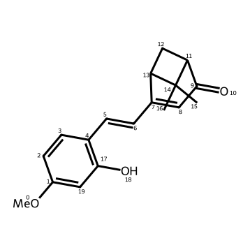 COc1ccc(C=CC2=CC(=O)C3CC2C3(C)C)c(O)c1